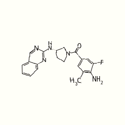 Cc1cc(C(=O)N2CC[C@H](Nc3ncc4ccccc4n3)C2)cc(F)c1N